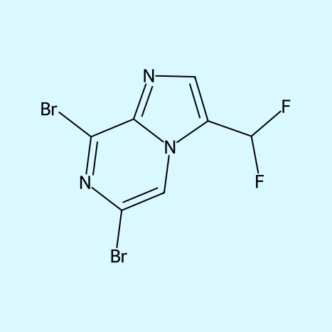 FC(F)c1cnc2c(Br)nc(Br)cn12